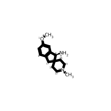 COc1ccc2c(c1)[C@@H](N)C1(CCN(C)CC1)C2